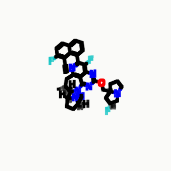 C#Cc1c(F)ccc2cccc(-c3nc4c5c(nc(OC[C@@]67CCCN6C[C@H](F)C7)nc5c3F)N3C[C@H]5CC[C@H](N5)[C@H]3[C@H](C)C4)c12